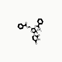 C[C@@]1(F)[C@@H](OC(=O)c2ccccc2)[C@@H](COC(=O)c2ccccc2)O[C@H]1n1ccc(=O)[nH]c1=O